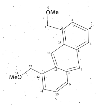 COCc1cccc2cc3cccc(COC)c3cc12